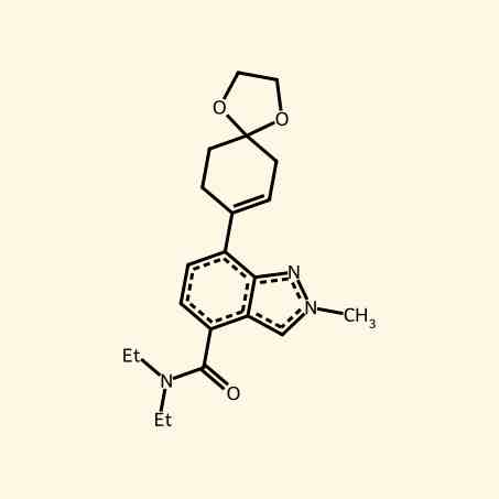 CCN(CC)C(=O)c1ccc(C2=CCC3(CC2)OCCO3)c2nn(C)cc12